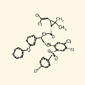 CC1(C)[C@H](C=C(Cl)Cl)[C@H]1C(=O)OC(C#N)c1cccc(Oc2ccccc2)c1.O=S(=O)(c1ccc(Cl)cc1)c1cc(Cl)c(Cl)cc1Cl